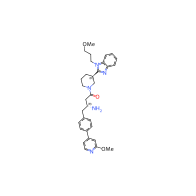 COCCCn1c([C@@H]2CCCN(C(=O)C[C@H](N)Cc3ccc(-c4ccnc(OC)c4)cc3)C2)nc2ccccc21